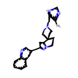 Cc1nc[nH]c1CN1CC2(CCn3nc(-c4cnc5ccccc5c4)cc32)C1